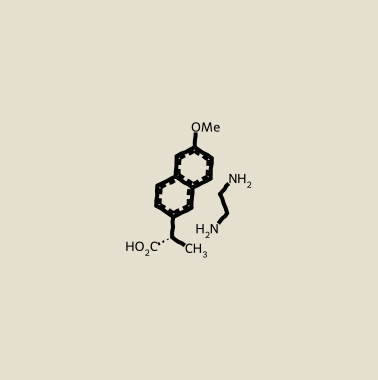 COc1ccc2cc([C@H](C)C(=O)O)ccc2c1.NCCN